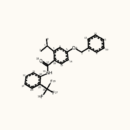 CC(C)c1cc(OCc2ccccc2)ccc1C(=O)Nc1ccccc1C(F)(F)F